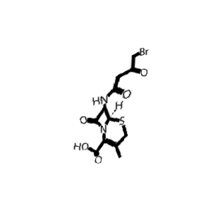 CC1=C(C(=O)O)N2C(=O)C(NC(=O)CC(=O)CBr)[C@H]2SC1